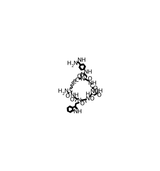 C[C@@H]1NC(=O)[C@H](CC(=O)O)NC(=O)CNC(=O)[C@H](CC(=O)Nc2ccc(C(=N)N)cc2)NC(=O)CCSSC[C@@H](C(N)=O)NC(=O)[C@H](C)N(CCc2c[nH]c3ccccc23)C1=O